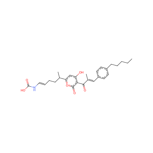 CCCCCc1ccc(/C=C(\C)C(=O)c2c(O)cc(C(C)CC/C=C/NC(=O)O)oc2=O)cc1